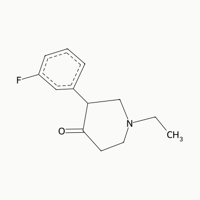 CCN1CCC(=O)C(c2cccc(F)c2)C1